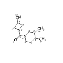 CC1CCN(C(=O)N2CC(C#N)C2)CC1C